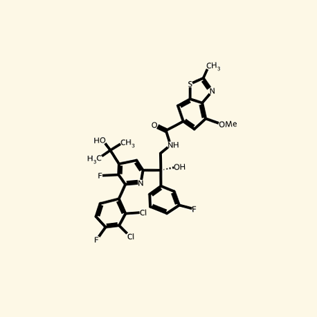 COc1cc(C(=O)NC[C@@](O)(c2cccc(F)c2)c2cc(C(C)(C)O)c(F)c(-c3ccc(F)c(Cl)c3Cl)n2)cc2sc(C)nc12